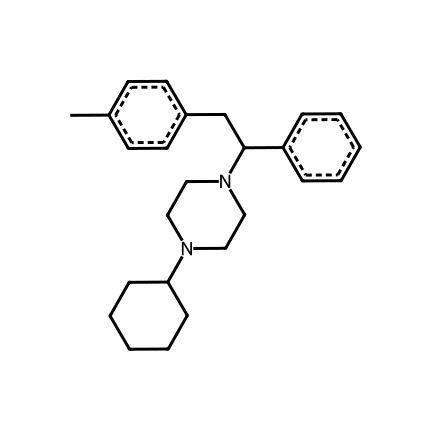 Cc1ccc(CC(c2ccccc2)N2CCN(C3CCCCC3)CC2)cc1